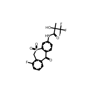 CC(O)(C(=O)Nc1ccc2c(c1)S(=O)(=O)Cc1c(F)cccc1C2=O)C(F)(F)F